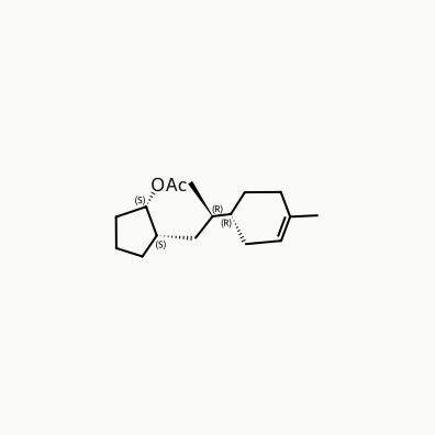 CC(=O)O[C@H]1CCC[C@H]1C[C@@H](C)[C@H]1CC=C(C)CC1